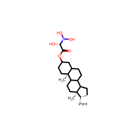 CCC[C@@H](C)[C@H]1CCC2C3CCC4CC(OC(=O)[C@H](O)N(O)O)CC[C@]4(C)C3CC[C@@]21C